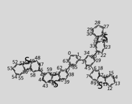 c1cc(-c2cc(-c3ccc4sc5ccccc5c4c3)cc(-c3ccc4sc5ccccc5c4c3)c2)cc(-c2ccc3sc4ccc(-c5ccc6sc7ccccc7c6c5)cc4c3c2)c1